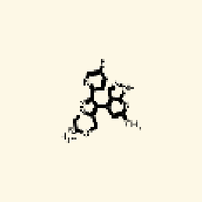 Cc1cc(-c2c(-c3ccc(F)cn3)nn3c2CO[C@H](C)C3)c2cn[nH]c2n1